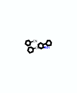 N#Cc1ccccc1.N#Cc1ccccc1.c1ccc2c(c1)[nH]c1ccccc12